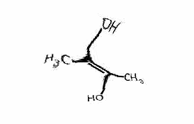 CC(O)=C(C)O